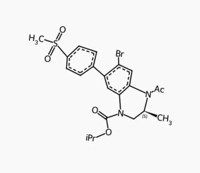 CC(=O)N1c2cc(Br)c(-c3ccc(S(C)(=O)=O)cc3)cc2N(C(=O)OC(C)C)C[C@@H]1C